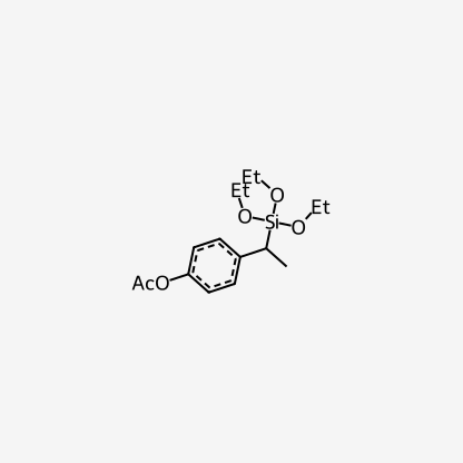 CCO[Si](OCC)(OCC)C(C)c1ccc(OC(C)=O)cc1